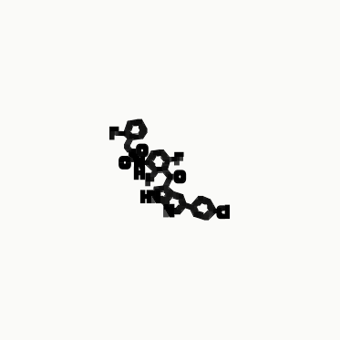 O=C(c1c(F)ccc(NS(=O)(=O)Cc2ccccc2F)c1F)c1c[nH]c2ncc(-c3ccc(Cl)cc3)cc12